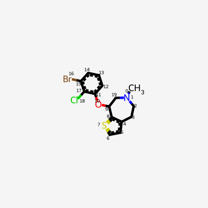 CN1CCc2ccsc2C(Oc2cccc(Br)c2Cl)C1